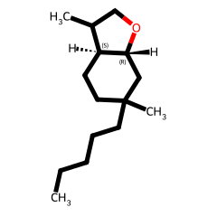 CCCCCC1(C)CC[C@H]2C(C)CO[C@@H]2C1